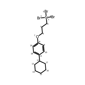 Br[Si](Br)(Br)CCCOc1ccc(C2CCCCC2)cc1